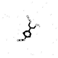 CCC(CN=C=O)c1ccc(N=C=O)cc1